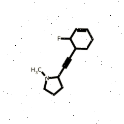 CN1CCCC1C#CC1CCC=CC1F